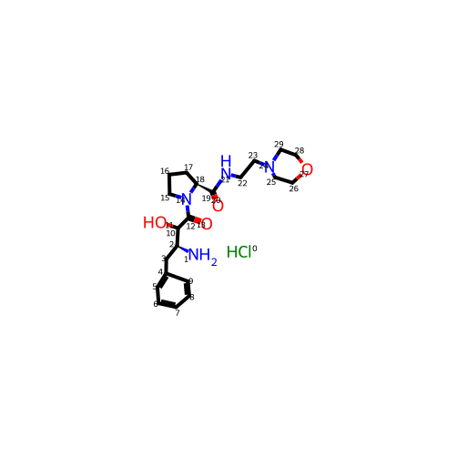 Cl.N[C@@H](Cc1ccccc1)C(O)C(=O)N1CCC[C@H]1C(=O)NCCN1CCOCC1